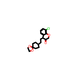 O=C1COc2c(Cl)cccc2C1CCC1CCC2(CC1)OCCO2